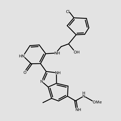 CONC(=N)c1cc(C)c2nc(-c3c(NCC(O)c4cccc(Cl)c4)cc[nH]c3=O)[nH]c2c1